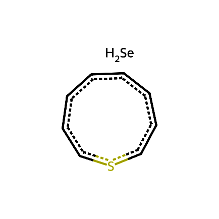 [SeH2].c1ccccsccc1